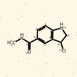 CNC(=O)c1ccc2c(c1)C(Cl)CN2